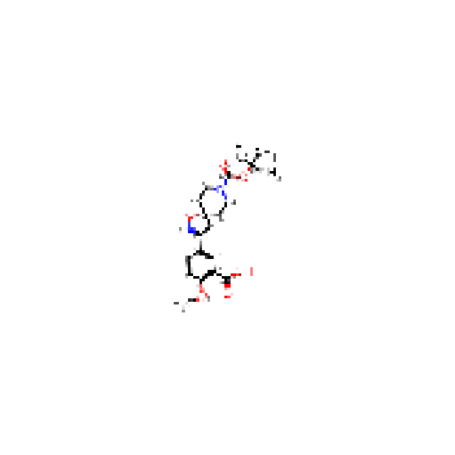 COc1ccc(C2=NOC3(CCN(C(=O)OC(C)(C)C)CC3)C2)cc1C(=O)O